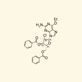 CCOc1nc(N)nc2c1ncn2[C@@H]1O[C@H](COC(=O)c2ccccc2)[C@@H](OC(=O)c2ccccc2)[C@@]1(C)Cl